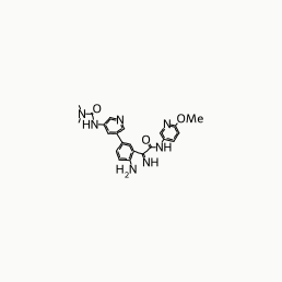 COc1ccc(NC(=O)C(=N)c2cc(-c3cncc(NC(=O)N(C)C)c3)ccc2N)cn1